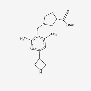 COC(=O)C1CCN(Cc2c(C)cc(C3CNC3)cc2C)C1